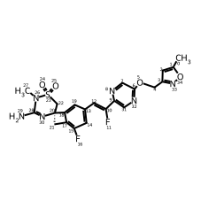 Cc1cc(COc2cnc(/C(F)=C/c3cc(F)c4c(c3)[C@]3(C4)CS(=O)(=O)N(C)C(N)=N3)cn2)no1